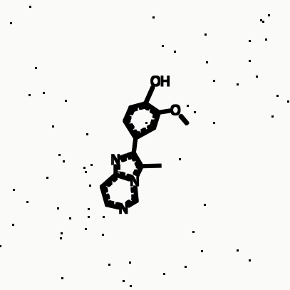 COc1cc(-c2nc3ccncn3c2C)ccc1O